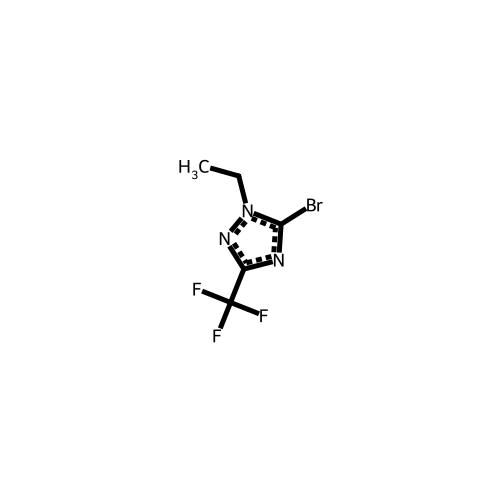 CCn1nc(C(F)(F)F)nc1Br